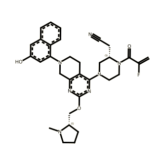 C=C(F)C(=O)N1CCN(c2nc(OC[C@@H]3CCCN3C)nc3c2CCN(c2cc(O)cc4ccccc24)C3)C[C@@H]1CC#N